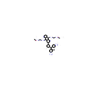 C=C(C)C(=O)NCCCNCc1c2ccccc2c(CNCCCNC(=O)C(=C)C)c2cc(-c3ccc(OC)c(C4=C5C=CC(=[N+](C)C)C=C5[Si](C)(C)c5cc(N(C)C)ccc54)c3)ccc12